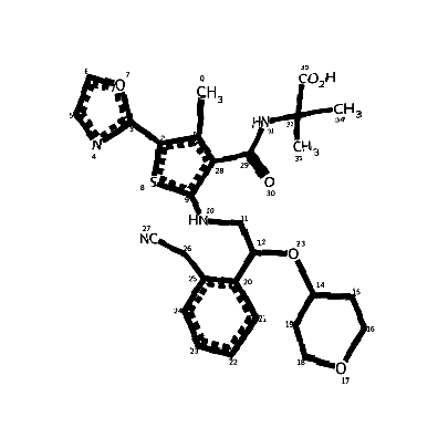 Cc1c(-c2ncco2)sc(NCC(OC2CCOCC2)c2ccccc2CC#N)c1C(=O)NC(C)(C)C(=O)O